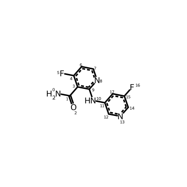 NC(=O)c1c(F)ccnc1Nc1cncc(F)c1